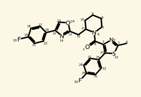 Cc1nc(C(=O)N2CCCCC2Cc2nc(-c3ccc(F)cc3)co2)c(-c2ccc(F)cc2)s1